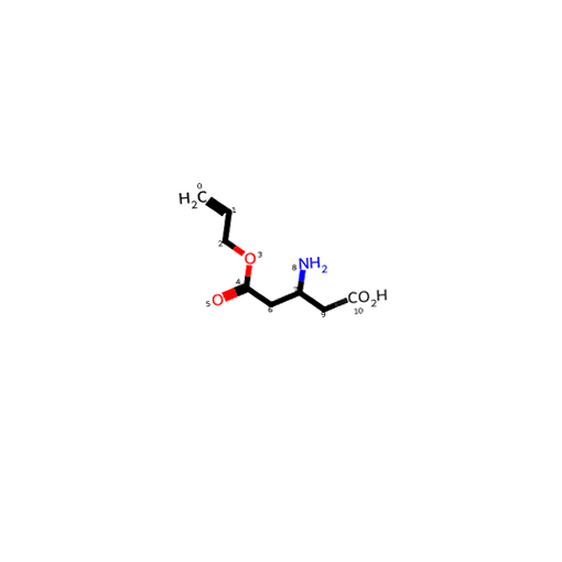 C=CCOC(=O)CC(N)CC(=O)O